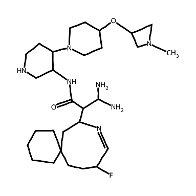 CN1CC(OC2CCN(C3CCNCC3NC(=O)C(C(N)N)C3CC4(CCCCC4)CCC(F)/C=N\3)CC2)C1